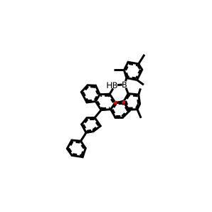 Cc1cc(C)c(B(Bc2c3ccccc3c(-c3ccc(-c4ccccc4)cc3)c3ccccc23)c2c(C)cc(C)cc2C)c(C)c1